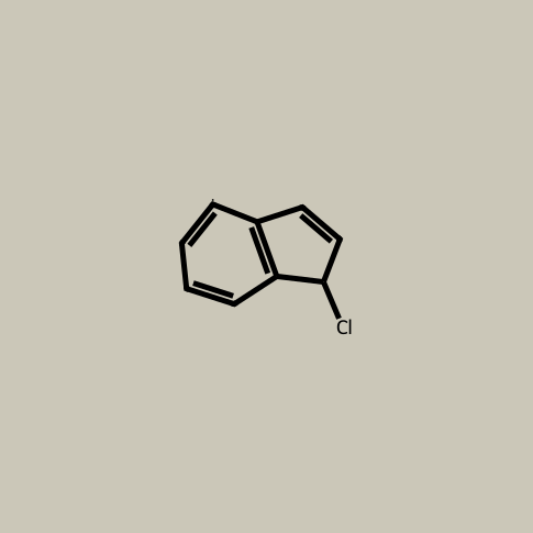 ClC1C=Cc2[c]cccc21